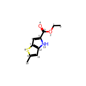 CCOC(=O)c1cc2sc(C)cc2[nH]1